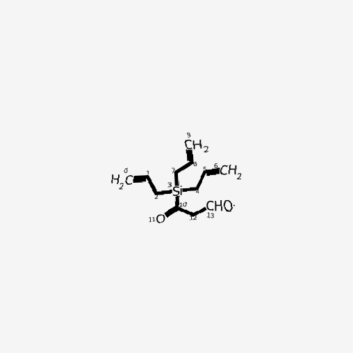 C=CC[Si](CC=C)(CC=C)C(=O)C[C]=O